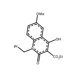 CCOC(=O)c1c(O)c2cc(OC)ccc2n(CC(C)C)c1=O